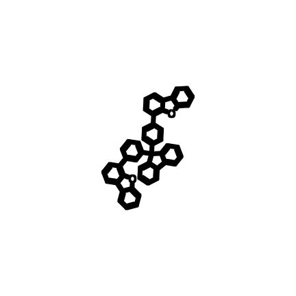 c1cc(-c2cccc3c2oc2ccccc23)cc(C2(c3ccc(-c4cccc5c4oc4ccccc45)cc3)c3ccccc3-c3ccccc32)c1